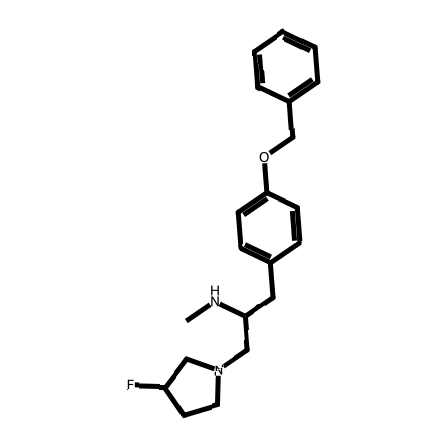 CNC(Cc1ccc(OCc2ccccc2)cc1)CN1CCC(F)C1